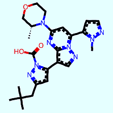 C[C@@H]1COCCN1c1cc(-c2ccnn2C)n2ncc(-c3cc(CC(C)(C)C)nn3C(=O)O)c2n1